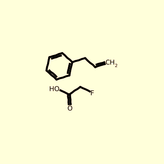 C=CCc1ccccc1.O=C(O)CF